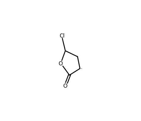 O=C1[CH]CC(Cl)O1